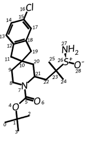 CC(C)(C)OC(=O)N1CCC2(Cc3ccc(Cl)cc3C2)CC1CC(C)(C)[S@@+](N)[O-]